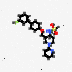 CS(=O)(=O)N[C@H]1CCN(c2ccccn2)CC1COC1CCC(c2cccc(F)c2)CC1